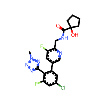 Cn1nnc(-c2c(F)cc(Cl)cc2-c2cnc(CNC(=O)C3(O)CCCC3)c(F)c2)n1